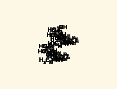 C/C=C1/[C@@H](O[C@@H]2O[C@H](CO)[C@@H](O)[C@H](O)[C@H]2O)N2[C@H]3C[C@@H]1C1C(OC(C)=O)[C@@]4(C[C@@H]12)C3=Nc1ccccc14.C/C=C1/[C@@H](O[C@@H]2O[C@H](CO)[C@@H](O)[C@H](O)[C@H]2O)N2[C@H]3C[C@@H]1C1C(OC(C)=O)[C@@]4(C[C@@H]12)C3=Nc1ccccc14